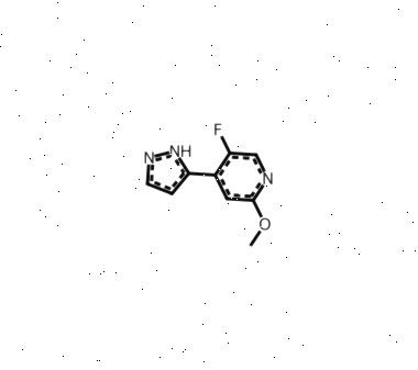 COc1cc(-c2ccn[nH]2)c(F)cn1